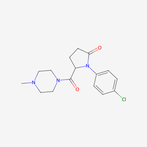 CN1CCN(C(=O)C2CCC(=O)N2c2ccc(Cl)cc2)CC1